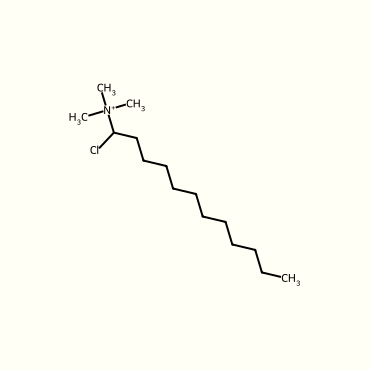 CCCCCCCCCCCC(Cl)[N+](C)(C)C